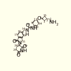 NCC1CC(Oc2ccc(NC(=O)NCc3ccc4c(c3)CN(C3CCC(=O)NC3=O)C4=O)cc2)C1